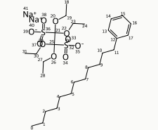 CCCCCCCCCCCCc1ccccc1.CCOC(OCC)(C(OCC)(OCC)S(=O)(=O)[O-])S(=O)(=O)[O-].[Na+].[Na+]